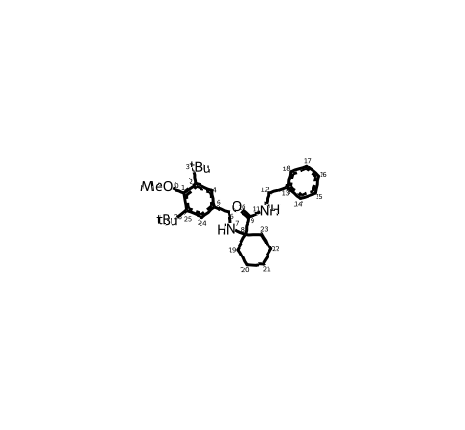 COc1c(C(C)(C)C)cc(CNC2(C(=O)NCc3ccccc3)CCCCC2)cc1C(C)(C)C